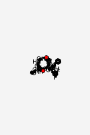 C[C@@H]1NC(=O)[C@H](C)N(C)C(=O)[C@@H]2CCCN2C(=O)[C@@H](NC(=O)[C@H](Cc2cc(F)cc(F)c2)NC(=O)CCC2CCCCC2)COC(=O)[C@@H]2C[C@H](NC(=O)OC(C)(C)C)CN2C1=O